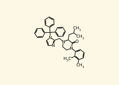 Cc1cccc(N2CCN(Cc3nccn3C(c3ccccc3)(c3ccccc3)c3ccccc3)C(CC(C)C)C2=O)c1C